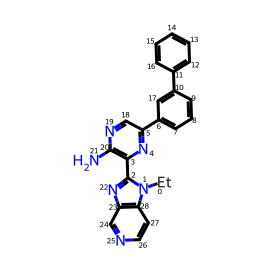 CCn1c(-c2nc(-c3cccc(-c4ccccc4)c3)cnc2N)nc2cnccc21